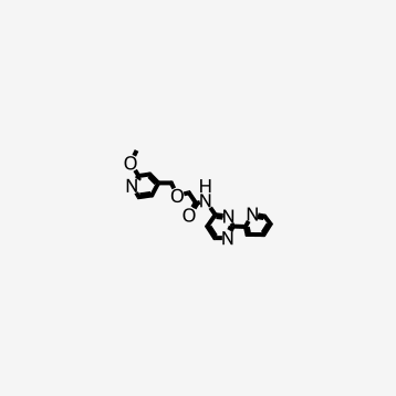 COc1cc(COCC(=O)Nc2ccnc(-c3ccccn3)n2)ccn1